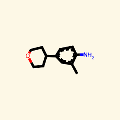 Cc1cc(C2CCOCC2)ccc1N